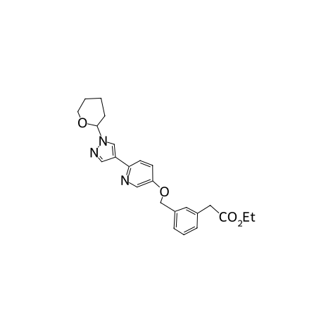 CCOC(=O)Cc1cccc(COc2ccc(-c3cnn(C4CCCCO4)c3)nc2)c1